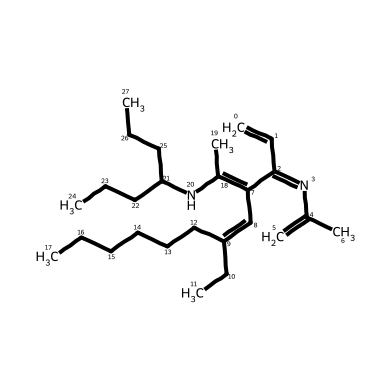 C=CC(=N/C(=C)C)/C(/C=C(/CC)CCCCCC)=C(\C)NC(CCC)CCC